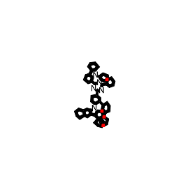 c1ccc(-c2cccc(-c3cc(-c4nc(-c5ccccc5)nc(-c5cccc6c7ccccc7n(-c7ccccc7)c56)n4)ccc3-n3c4cc5ccccc5cc4c4c5ccccc5ccc43)c2)cc1